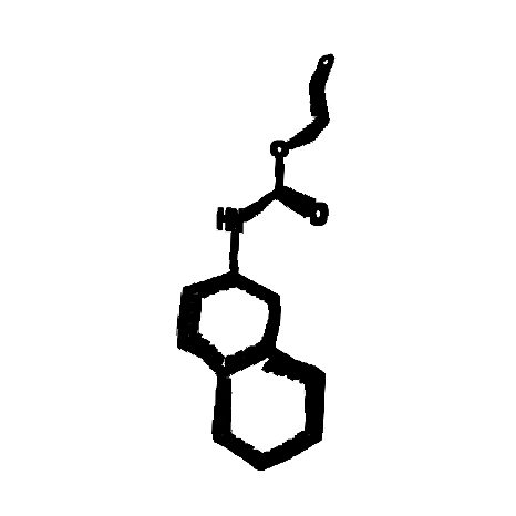 O=COC(=O)Nc1ccc2ccccc2c1